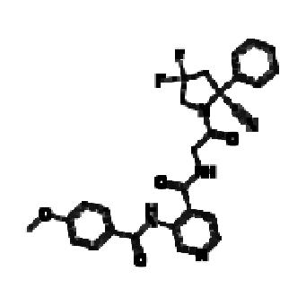 COc1ccc(C(=O)Nc2cnccc2C(=O)NCC(=O)N2CC(F)(F)CC2(C#N)c2ccccc2)cc1